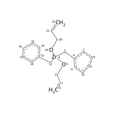 C=CC[O][Zr]([CH2]c1ccccc1)([CH2]c1ccccc1)[O]CC=C